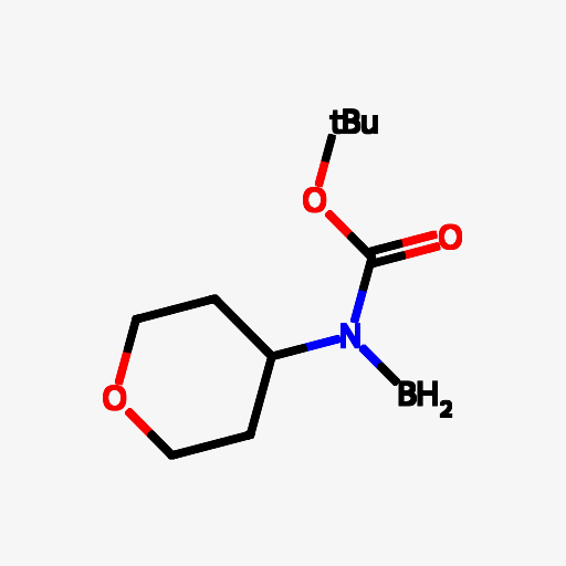 BN(C(=O)OC(C)(C)C)C1CCOCC1